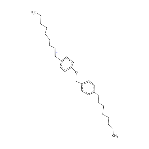 CCCCCCC/C=C/c1ccc(OCc2ccc(CCCCCCCC)cc2)cc1